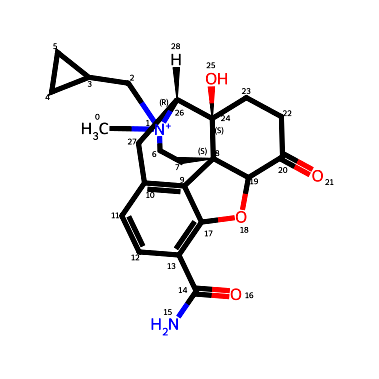 C[N+]1(CC2CC2)CC[C@]23c4c5ccc(C(N)=O)c4OC2C(=O)CC[C@@]3(O)[C@H]1C5